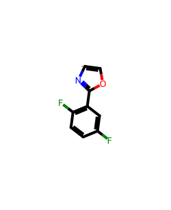 Fc1ccc(F)c(-c2n[c]co2)c1